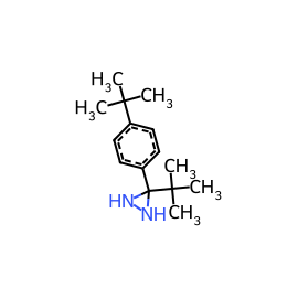 CC(C)(C)c1ccc(C2(C(C)(C)C)NN2)cc1